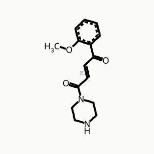 COc1ccccc1C(=O)/C=C/C(=O)N1CCNCC1